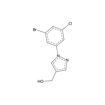 OCc1cnn(-c2cc(Cl)cc(Br)c2)c1